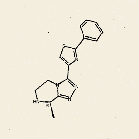 C[C@H]1NCCn2c(-c3csc(-c4ccccc4)n3)nnc21